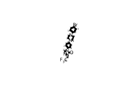 O=c1n(-c2ccc(N3CCN(c4ccc(Br)cc4)CC3)cc2)cnn1CC(F)(F)F